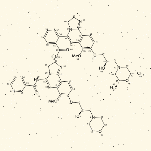 COc1c(OC[C@H](O)CN2CCOCC2)ccc2c1N=C(NC(=O)c1cccnc1)N1CCN=C21.COc1c(OC[C@H](O)CN2C[C@@H](C)O[C@@H](C)C2)ccc2c1N=C(c1ncccc1C(N)=O)N1CCN=C21